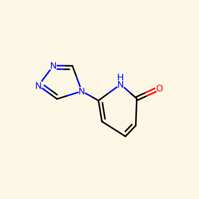 O=c1cccc(-n2cnnc2)[nH]1